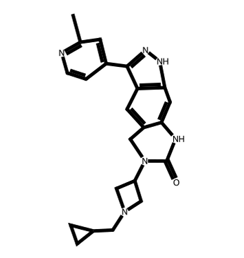 Cc1cc(-c2n[nH]c3cc4c(cc23)CN(C2CN(CC3CC3)C2)C(=O)N4)ccn1